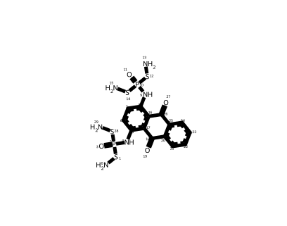 NSP(=O)(Nc1ccc(NP(=O)(SN)SN)c2c1C(=O)c1ccccc1C2=O)SN